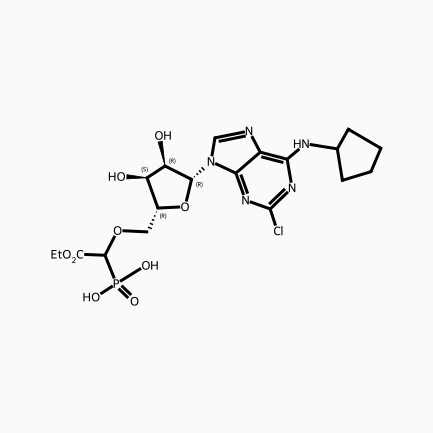 CCOC(=O)C(OC[C@H]1O[C@@H](n2cnc3c(NC4CCCC4)nc(Cl)nc32)[C@H](O)[C@@H]1O)P(=O)(O)O